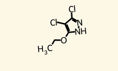 CCOc1[nH]nc(Cl)c1Cl